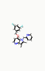 Cc1c(C)n(Cc2ccccn2)c2c(OCc3cc(F)cc(F)c3)ccnc12